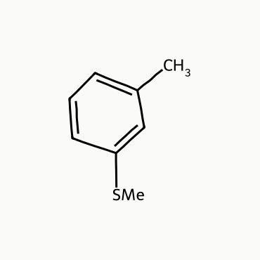 [CH2]Sc1cccc(C)c1